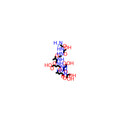 CC(C)CC(NC(=O)C(CC(=O)O)NC(=O)C(CCC(=O)O)NC(=O)C(NC(=O)CNC(=O)C(CO)NC(=O)CN)C(C)C)C(=O)NC(CO)C(=O)O